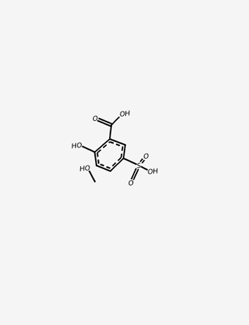 CO.O=C(O)c1cc(S(=O)(=O)O)ccc1O